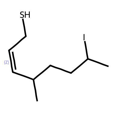 CC(I)CCC(C)/C=C\CS